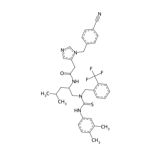 Cc1ccc(NC(=S)N(Cc2ccccc2C(F)(F)F)CC(CC(C)C)NC(=O)Cc2cncn2Cc2ccc(C#N)cc2)cc1C